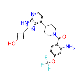 Nc1cc(OC(F)(F)F)ccc1C(=O)N1CCC(c2ccnc3[nH]c(C4CC(O)C4)nc23)CC1